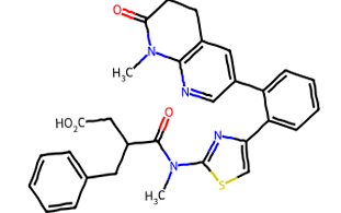 CN(C(=O)C(CC(=O)O)Cc1ccccc1)c1nc(-c2ccccc2-c2cnc3c(c2)CCC(=O)N3C)cs1